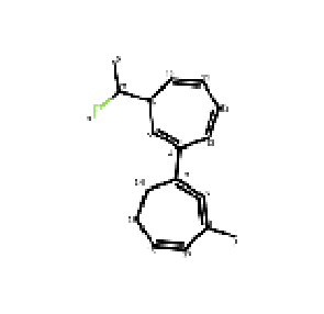 CC1=C=C(C2=CC(C(C)F)C=CC=C2)CCC=C1